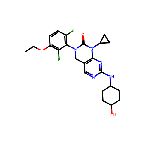 CCOc1ccc(F)c(N2Cc3cnc(NC4CCC(O)CC4)nc3N(C3CC3)C2=O)c1F